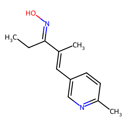 CCC(=N\O)/C(C)=C/c1ccc(C)nc1